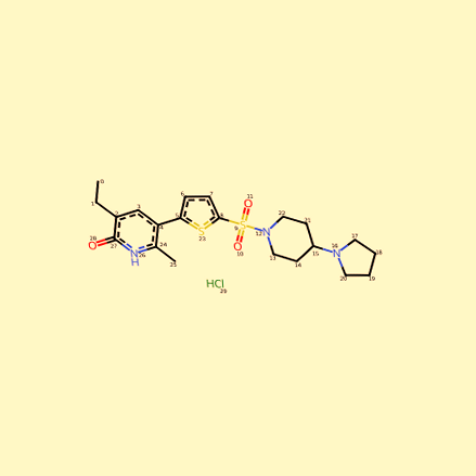 CCc1cc(-c2ccc(S(=O)(=O)N3CCC(N4CCCC4)CC3)s2)c(C)[nH]c1=O.Cl